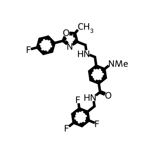 CNc1cc(C(=O)NCc2c(F)cc(F)cc2F)ccc1CNCc1nc(-c2ccc(F)cc2)oc1C